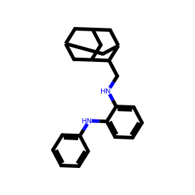 c1ccc(Nc2ccccc2NCC2C3CC4CC(C3)CC2C4)cc1